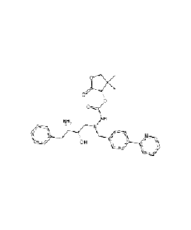 CC1(C)COC(=O)[C@H]1OC(=O)NN(Cc1ccc(-c2ccccn2)cc1)C[C@H](O)[C@@H](N)Cc1ccccc1